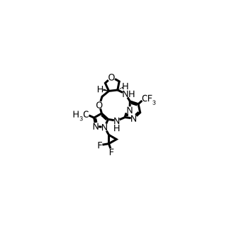 Cc1nn(C2CC2(F)F)c2c1OC[C@@H]1COC[C@H]1Nc1nc(ncc1C(F)(F)F)N2